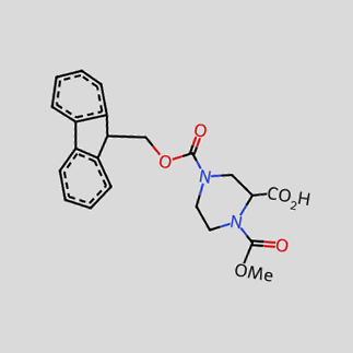 COC(=O)N1CCN(C(=O)OCC2c3ccccc3-c3ccccc32)CC1C(=O)O